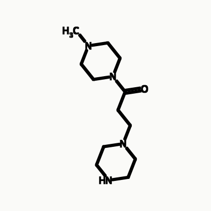 CN1CCN(C(=O)CCN2CCNCC2)CC1